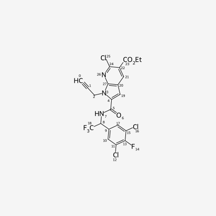 C#CCn1c(C(=O)NC(c2cc(Cl)c(F)c(Cl)c2)C(F)(F)F)cc2cc(C(=O)OCC)c(Cl)nc21